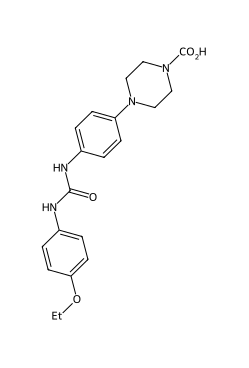 CCOc1ccc(NC(=O)Nc2ccc(N3CCN(C(=O)O)CC3)cc2)cc1